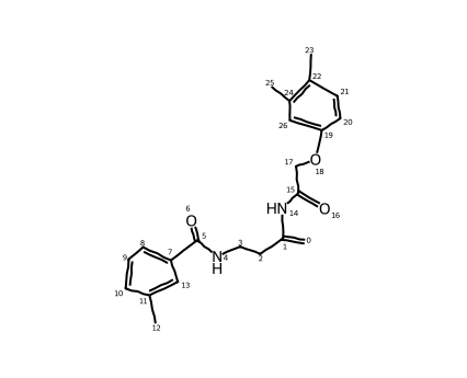 C=C(CCNC(=O)c1cccc(C)c1)NC(=O)COc1ccc(C)c(C)c1